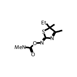 CCC1(C)SC(=NOC(=O)NC)N=C1C